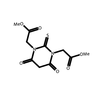 COC(=O)CN1C(=O)CC(=O)N(CC(=O)OC)C1=S